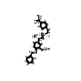 COC(=O)c1ccc(C[C@H](C)NCC(O)c2ccc(OCc3ccccc3)c(CO)c2)cc1